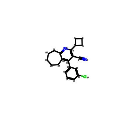 N#Cc1c(C2CCC2)nc2c(c1-c1cccc(Cl)c1)CCCCC2